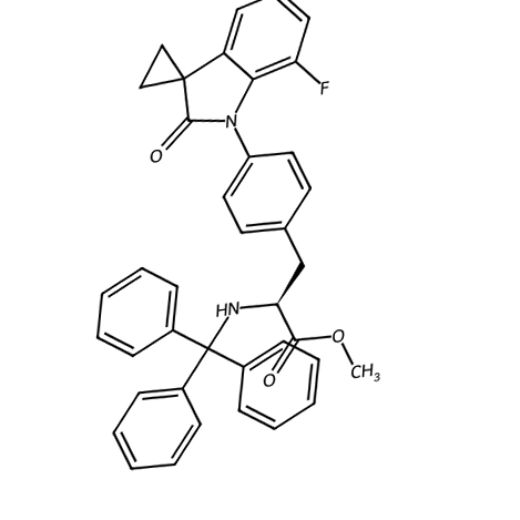 COC(=O)[C@H](Cc1ccc(N2C(=O)C3(CC3)c3cccc(F)c32)cc1)NC(c1ccccc1)(c1ccccc1)c1ccccc1